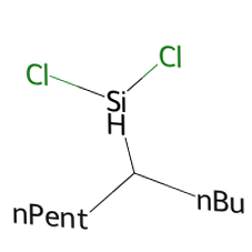 CCCCCC(CCCC)[SiH](Cl)Cl